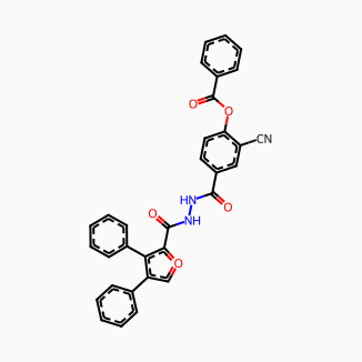 N#Cc1cc(C(=O)NNC(=O)c2occ(-c3ccccc3)c2-c2ccccc2)ccc1OC(=O)c1ccccc1